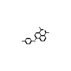 C=C(C)c1cccc2c(Sc3ccc(C)cc3)ccc(C(=C)C)c12